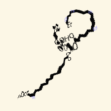 CC/C=C\C/C=C\C/C=C\C/C=C\CCCCC(=O)O[C@H](COC(=O)CCCCCCCCCCC/C=C\CCCCCCCC)COP(=O)(O)OCC[N+](C)(C)C